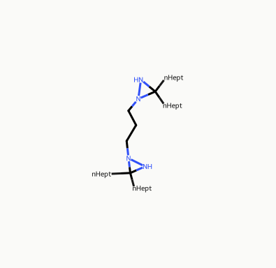 CCCCCCCC1(CCCCCCC)NN1CCCN1NC1(CCCCCCC)CCCCCCC